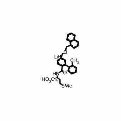 CSCC[C@H](NC(=O)c1ccc(COCc2cccc3ccccc23)cc1-c1ccccc1C)C(=O)O.[LiH]